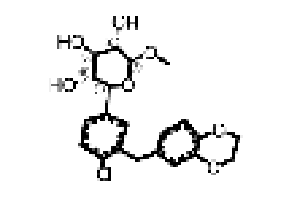 CO[C@H]1O[C@@H](c2ccc(Cl)c(Cc3ccc4c(c3)OCCO4)c2)[C@H](O)[C@@H](O)[C@@H]1O